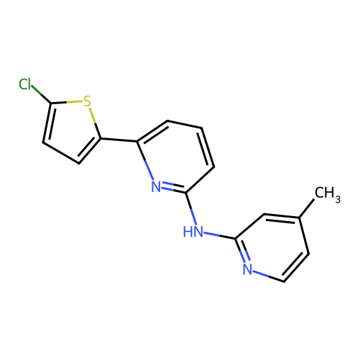 Cc1ccnc(Nc2cccc(-c3ccc(Cl)s3)n2)c1